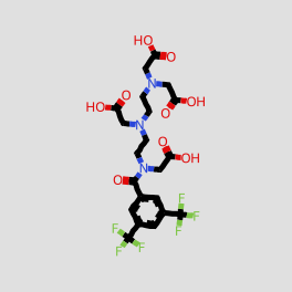 O=C(O)CN(CCN(CC(=O)O)CC(=O)O)CCN(CC(=O)O)C(=O)c1cc(C(F)(F)F)cc(C(F)(F)F)c1